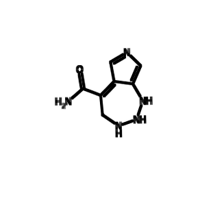 NC(=O)C1=C2C=NC=C2NNNC1